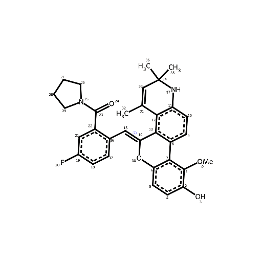 COc1c(O)ccc2c1-c1ccc3c(c1/C(=C/c1ccc(F)cc1C(=O)N1CCCC1)O2)C(C)=CC(C)(C)N3